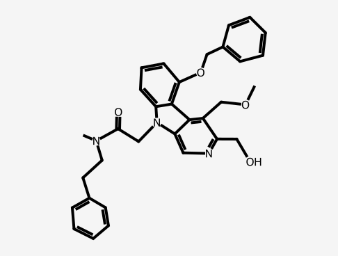 COCc1c(CO)ncc2c1c1c(OCc3ccccc3)cccc1n2CC(=O)N(C)CCc1ccccc1